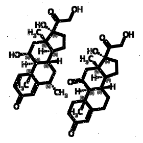 C[C@H]1C[C@@H]2[C@H]([C@@H](O)C[C@@]3(C)[C@H]2CC[C@]3(O)C(=O)CO)[C@@]2(C)C=CC(=O)C=C12.C[C@]12CCC(=O)C=C1CC[C@@H]1[C@@H]2C(=O)C[C@@]2(C)[C@H]1CC[C@]2(O)C(=O)CO